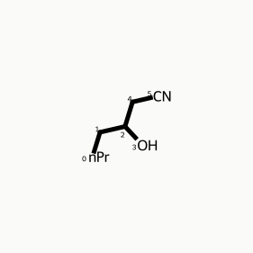 CCCCC(O)CC#N